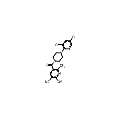 N#Cc1cc(C(=O)N2CCN(c3ncc(Cl)cc3Cl)CC2)c(C(F)(F)F)nc1O